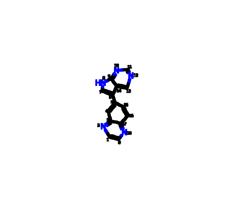 c1cnc2cc(-c3c[nH]c4ncncc34)ccc2n1